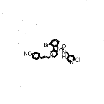 N#Cc1ccc(/C=C/CN2CCc3c(c4c(Br)cccc4n3C(=O)NCc3ccnc(Cl)c3)C2)cc1